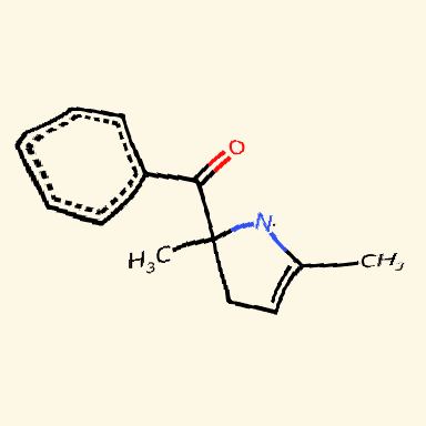 CC1=CCC(C)(C(=O)c2ccccc2)[N]1